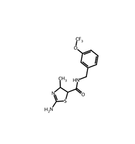 CC1N=C(N)SC1C(=O)NCc1cccc(OC(F)(F)F)c1